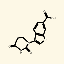 O=C1CCN(c2coc3cc(C(=O)O)ccc23)C(=O)N1